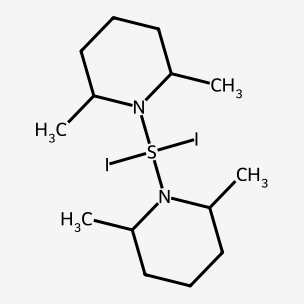 CC1CCCC(C)N1S(I)(I)N1C(C)CCCC1C